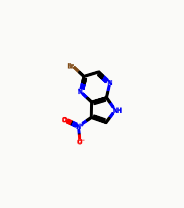 O=[N+]([O-])c1c[nH]c2ncc(Br)nc12